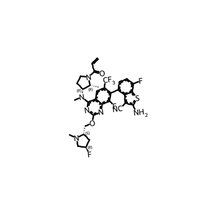 C=CC(=O)N1CC[C@@H](N(C)c2nc(OC[C@@H]3C[C@@H](F)CN3C)nc3c(F)c(-c4ccc(F)c5sc(N)c(C#N)c45)c(C(F)(F)F)cc23)[C@H]1C